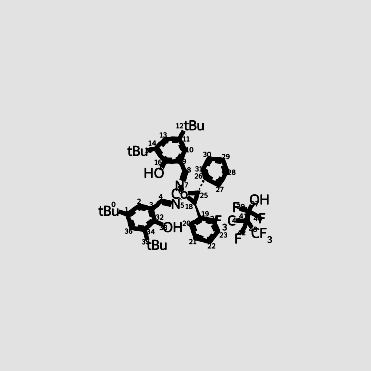 CC(C)(C)c1cc(C=[N][Co]2([N]=Cc3cc(C(C)(C)C)cc(C(C)(C)C)c3O)[C@H](c3ccccc3)[C@H]2c2ccccc2)c(O)c(C(C)(C)C)c1.OC(F)(F)C(F)(C(F)(F)F)C(F)(F)F